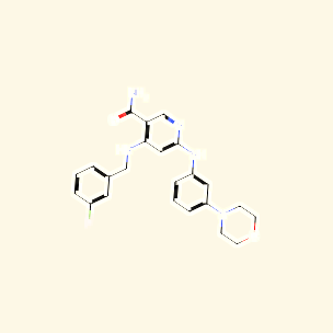 NC(=O)c1cnc(Nc2cccc(N3CCOCC3)c2)cc1NCc1cccc(F)c1